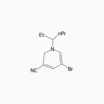 CCCC(CC)N1C=C(Br)C=C(C#N)C1